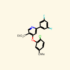 CCOC(=O)c1cnc(-c2cc(F)cc(F)c2)cc1Oc1cc(OC)ccc1Cl